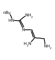 CCCCN/C(N)=N/C=C(\N)CN